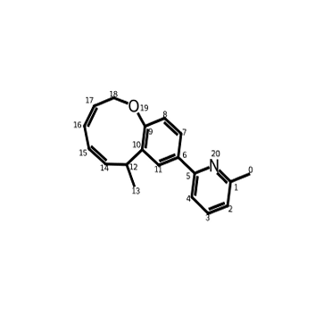 Cc1cccc(-c2ccc3c(c2)C(C)/C=C\C=C/CO3)n1